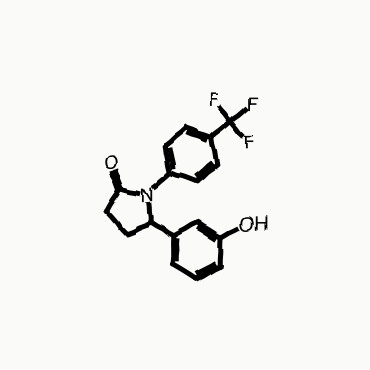 O=C1CCC(c2cccc(O)c2)N1c1ccc(C(F)(F)F)cc1